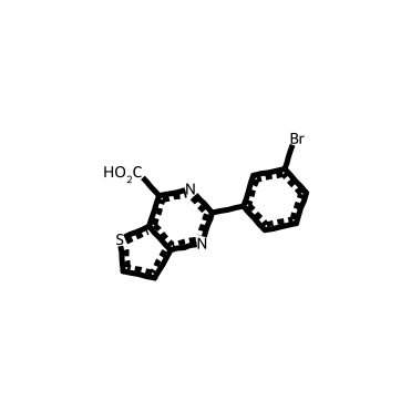 O=C(O)c1nc(-c2cccc(Br)c2)nc2ccsc12